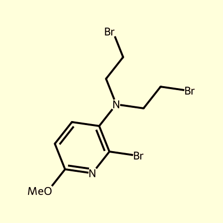 COc1ccc(N(CCBr)CCBr)c(Br)n1